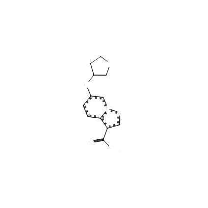 CC(=O)c1cnn2cc(OC3CCOC3)ccc12